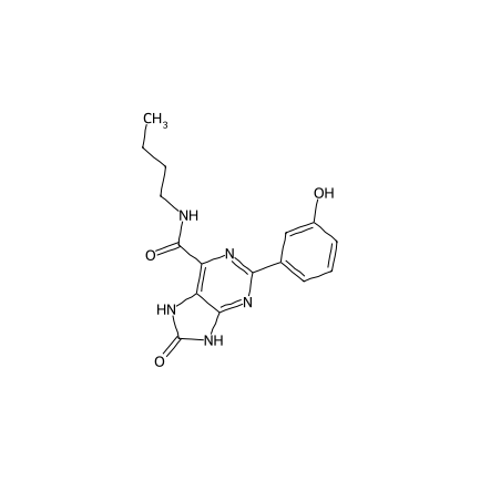 CCCCNC(=O)c1nc(-c2cccc(O)c2)nc2[nH]c(=O)[nH]c12